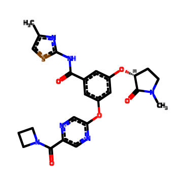 Cc1csc(NC(=O)c2cc(Oc3cnc(C(=O)N4CCC4)cn3)cc(O[C@@H]3CCN(C)C3=O)c2)n1